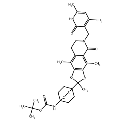 Cc1cc(C)c(CN2CCc3c(C)c4c(c(C)c3C2=O)OC(C)(C23CCC(NC(=O)OC(C)(C)C)(CC2)CC3)O4)c(=O)[nH]1